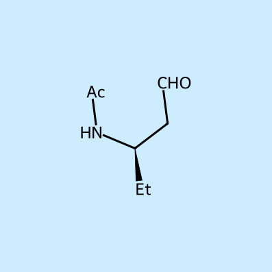 CC[C@H](CC=O)NC(C)=O